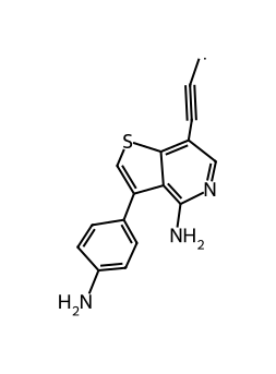 [CH2]C#Cc1cnc(N)c2c(-c3ccc(N)cc3)csc12